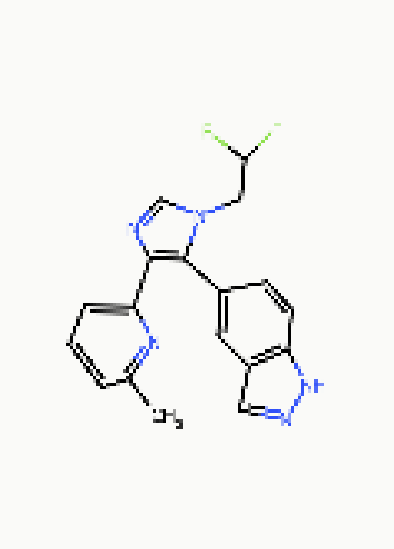 Cc1cccc(-c2ncn(CC(F)F)c2-c2ccc3[nH]ncc3c2)n1